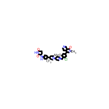 COc1cc(-c2cn(C)c(=O)c3cnccc23)cc(Cl)c1CN1CCC(N2CCC(c3ccc(NC4CCC(=O)NC4=O)cc3C(F)(F)F)CC2)CC1